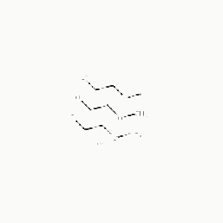 COCC[O-].COCC[O-].COCC[O-].[Y+3]